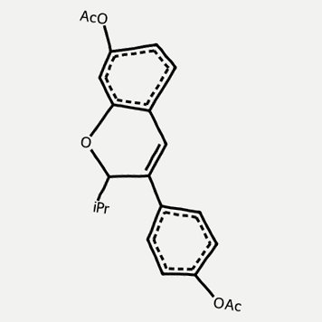 CC(=O)Oc1ccc(C2=Cc3ccc(OC(C)=O)cc3OC2C(C)C)cc1